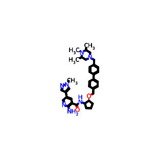 CC1CN(Cc2ccc(-c3ccc(CO[C@H]4CCCC4NC(=O)c4cc(-c5cnn(C)c5)cnc4N)cc3)cc2)CC(C)N1C